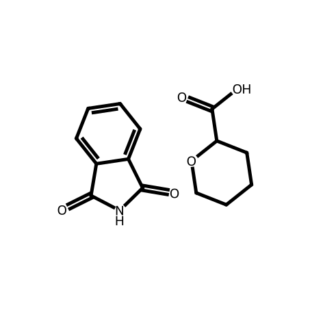 O=C(O)C1CCCCO1.O=C1NC(=O)c2ccccc21